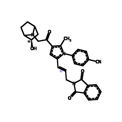 Cc1c(C(=O)CN2C3CCC2[C@H](O)C3)cc(/C=C/CN2C(=O)c3ccccc3C2=O)n1-c1ccc(C#N)cc1